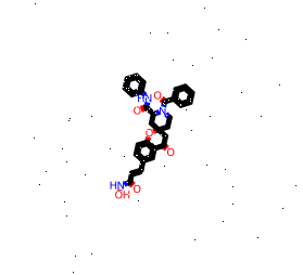 O=C(C=Cc1ccc2c(c1)C(=O)CC1(CCN(C(=O)c3ccccc3)C(C(=O)Nc3ccccc3)C1)O2)NO